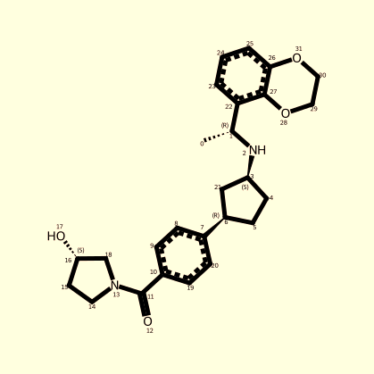 C[C@@H](N[C@H]1CC[C@@H](c2ccc(C(=O)N3CC[C@H](O)C3)cc2)C1)c1cccc2c1OCCO2